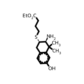 CCOC(=O)CCCS[C@H]1Cc2ccc(O)cc2C(C)(C)[C@@H]1N